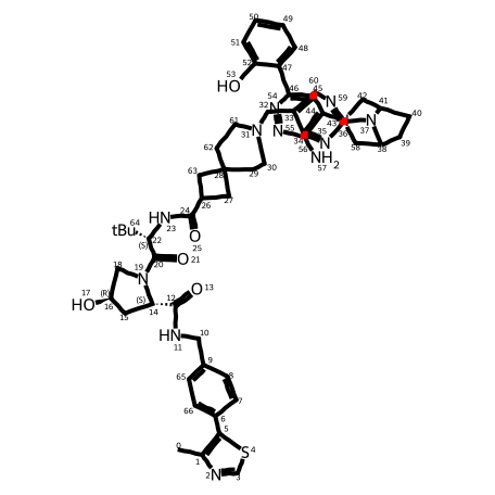 Cc1ncsc1-c1ccc(CNC(=O)[C@@H]2C[C@@H](O)CN2C(=O)[C@@H](NC(=O)C2CC3(CCN(Cc4cnc(N5C6CCC5CN(c5cc(-c7ccccc7O)nnc5N)C6)nc4)CC3)C2)C(C)(C)C)cc1